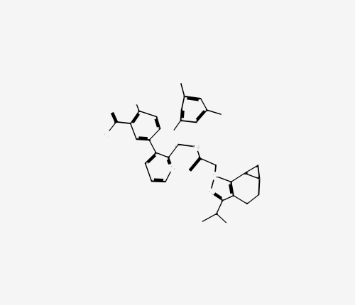 NC(=O)c1cc(-c2cccnc2[C@H](Cc2cc(F)cc(F)c2)NC(=O)Cn2nc(C(F)F)c3c2C2CC2CC3)ccc1F